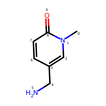 Cn1cc(CN)ccc1=O